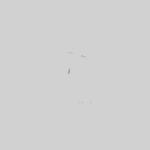 CCCCCCCCCCCC/C=C\CC1C(=O)OC1=O